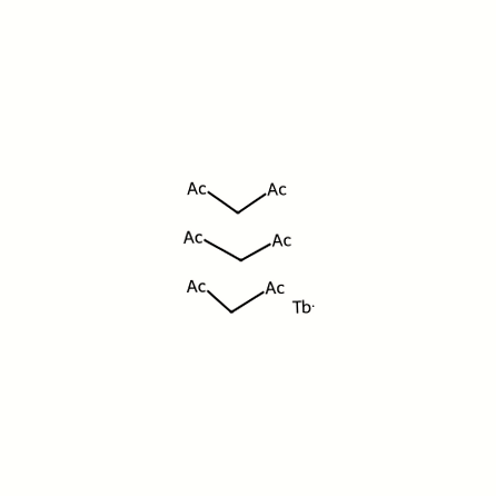 CC(=O)CC(C)=O.CC(=O)CC(C)=O.CC(=O)CC(C)=O.[Tb]